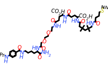 CCCNc1ccc(C(=O)NCCCCC(NC(=O)COCCOCCNC(=O)CCC(NC(=O)CCC(NC(=O)CC(C)(C)CC(C)(C)CNC(=O)CCCSNC)C(=O)O)C(=O)O)C(N)=O)cc1